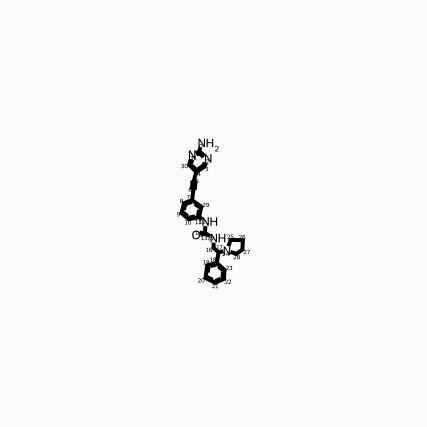 Nc1ncc(C#Cc2cccc(NC(=O)NCC(c3ccccc3)N3CCCC3)c2)cn1